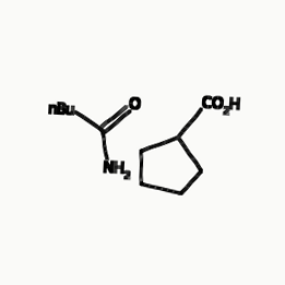 CCCCC(N)=O.O=C(O)C1CCCC1